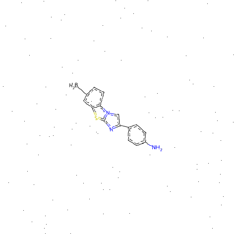 Bc1ccc2c(c1)sc1nc(-c3ccc(N)cc3)cn12